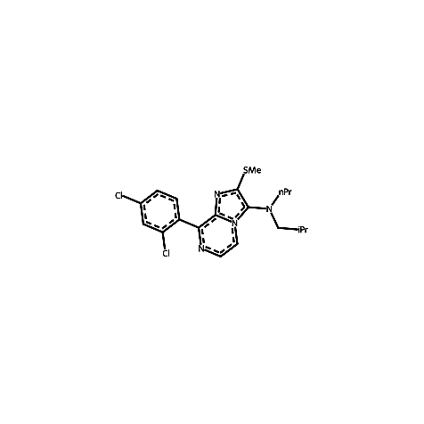 CCCN(CC(C)C)c1c(SC)nc2c(-c3ccc(Cl)cc3Cl)nccn12